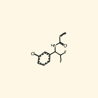 C=CC(=O)NC(c1cccc(Cl)c1)C(F)F